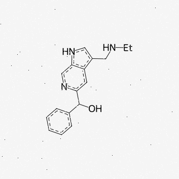 CCNCc1c[nH]c2cnc(C(O)c3ccccc3)cc12